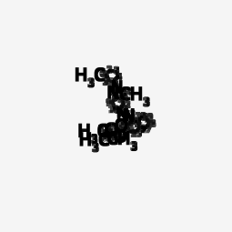 Cc1cccc(N=Nc2ccc(N=Nc3c(OC(=O)OC(C)(C)C)ccc4ccccc34)cc2C)c1